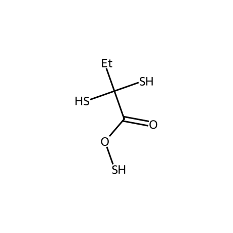 CCC(S)(S)C(=O)OS